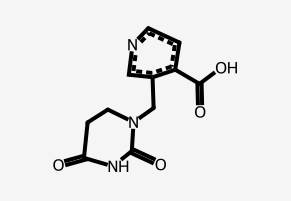 O=C1CCN(Cc2cnccc2C(=O)O)C(=O)N1